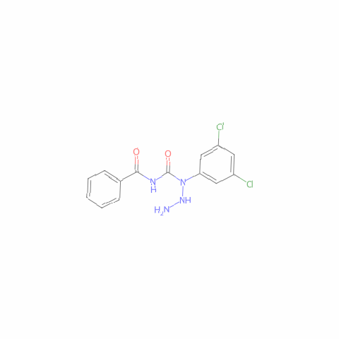 NNN(C(=O)NC(=O)c1ccccc1)c1cc(Cl)cc(Cl)c1